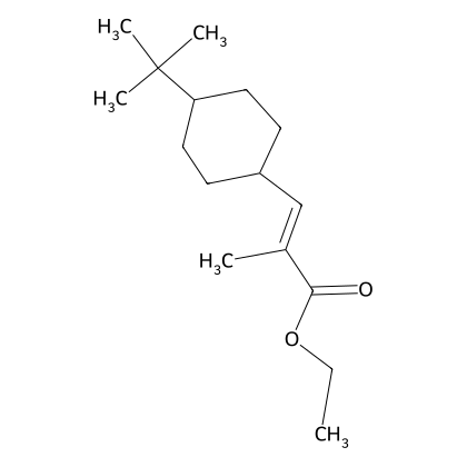 CCOC(=O)/C(C)=C/C1CCC(C(C)(C)C)CC1